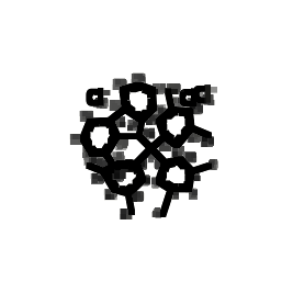 Cc1cc(C)cc(C(c2cc(C)cc(C)c2)(c2cc(C)cc(C)c2)C2c3ccccc3-c3ccc[c]([Ti+3])c32)c1.[Cl-].[Cl-].[Cl-]